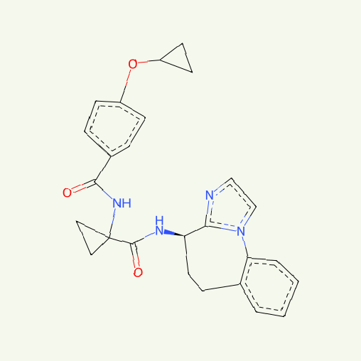 O=C(NC1(C(=O)N[C@@H]2CCc3ccccc3-n3ccnc32)CC1)c1ccc(OC2CC2)cc1